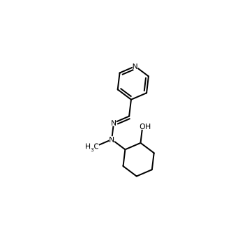 CN(N=Cc1ccncc1)C1CCCCC1O